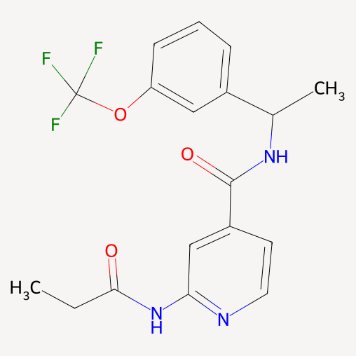 CCC(=O)Nc1cc(C(=O)NC(C)c2cccc(OC(F)(F)F)c2)ccn1